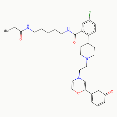 CC(C)(C)CC(=O)NCCCCCNC(=O)c1cc(Cl)ccc1C1CCN(CCN2C=COC(C3=CC=CC(=O)C3)=C2)CC1